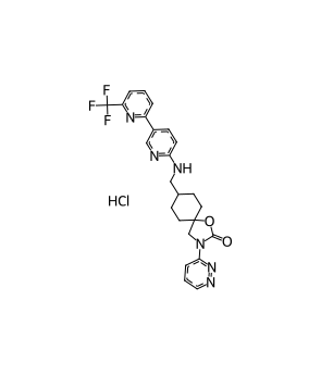 Cl.O=C1OC2(CCC(CNc3ccc(-c4cccc(C(F)(F)F)n4)cn3)CC2)CN1c1cccnn1